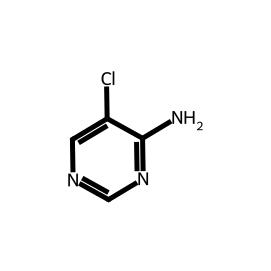 Nc1ncncc1Cl